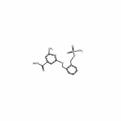 COC(=O)c1cc(C)nc(OCc2ccccc2COS(C)(=O)=O)c1